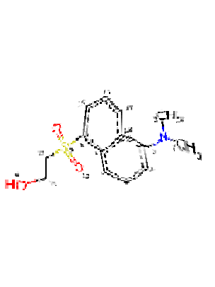 CN(C)c1cccc2c(S(=O)(=O)CCO)cccc12